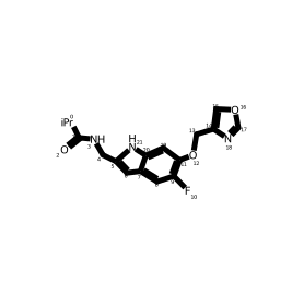 CC(C)C(=O)NCc1cc2cc(F)c(OCc3cocn3)cc2[nH]1